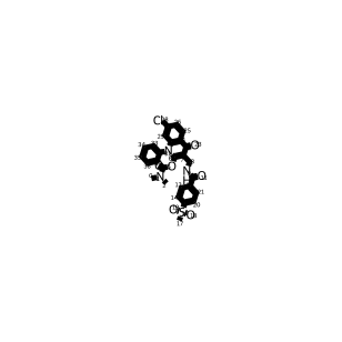 CN(C)C(=O)Oc1c(CNC(=O)c2ccc(S(C)(=O)=O)cc2)c(=O)c2ccc(Cl)cc2n1-c1ccccc1